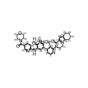 Cn1cc(-c2ccnc(N3CCn4c(cc5c4CCCC5)C3=O)c2CO)cc(Nc2ccc(C(=O)N3CCOCC3)cn2)c1=O